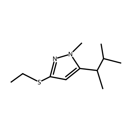 CCSc1cc(C(C)C(C)C)n(C)n1